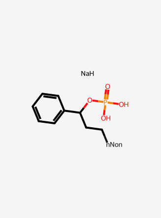 CCCCCCCCCCCC(OP(=O)(O)O)c1ccccc1.[NaH]